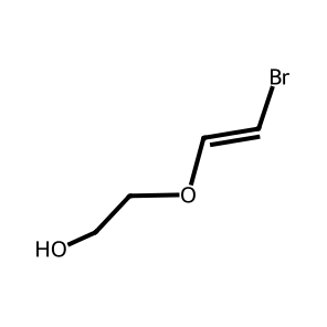 OCCOC=CBr